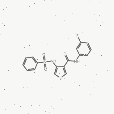 O=C(Nc1cccc(F)c1)c1cscc1NS(=O)(=O)c1ccccc1